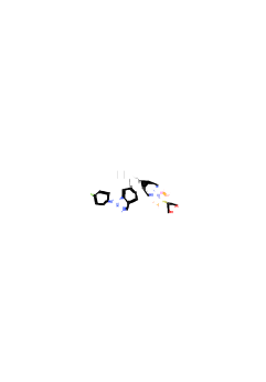 Cc1cc2c(cnn2-c2ccc(F)cc2)cc1[C@@]12CN(S(=O)(=O)C3COC3)C[C@@H]1[C@H]2C